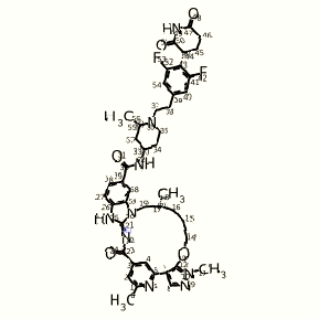 Cc1cc2cc(n1)-c1cnn(C)c1OCCC[C@@H](C)CN1/C(=N/C2=O)Nc2ccc(C(=O)N[C@@H]3CCN(CCc4cc(F)c([C@H]5CCC(=O)NC5=O)c(F)c4)[C@H](C)C3)cc21